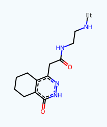 CCNCCNC(=O)Cc1n[nH]c(=O)c2c1CCCC2